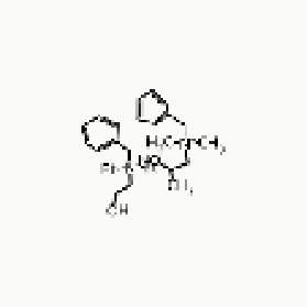 CC(O)C[N+](C)(C)Cc1ccccc1.CC[N+](CC)(CCO)Cc1ccccc1